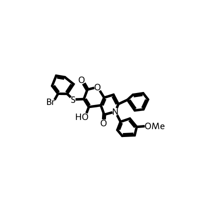 COc1cccc(-n2c(-c3ccccc3)cc3oc(=O)c(Sc4ccccc4Br)c(O)c3c2=O)c1